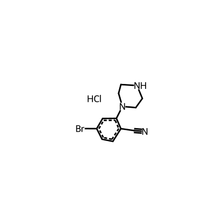 Cl.N#Cc1ccc(Br)cc1N1CCNCC1